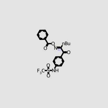 CCCC/C(=N\OC(=O)c1ccccc1)C(=O)c1ccc(NS(=O)(=O)C(F)(F)F)cc1